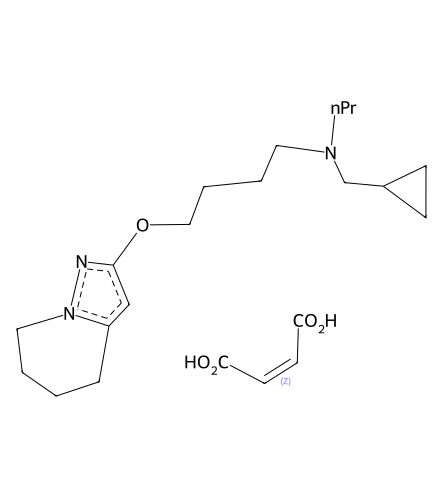 CCCN(CCCCOc1cc2n(n1)CCCC2)CC1CC1.O=C(O)/C=C\C(=O)O